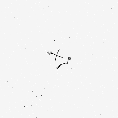 C=COCC.CC(C)(C)N